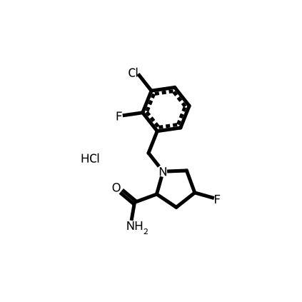 Cl.NC(=O)C1CC(F)CN1Cc1cccc(Cl)c1F